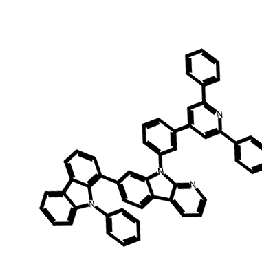 c1ccc(-c2cc(-c3cccc(-n4c5cc(-c6cccc7c8ccccc8n(-c8ccccc8)c67)ccc5c5cccnc54)c3)cc(-c3ccccc3)n2)cc1